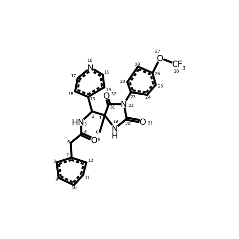 CC1(C(NC(=O)Cc2ccccc2)c2ccncc2)NC(=O)N(c2ccc(OC(F)(F)F)cc2)C1=O